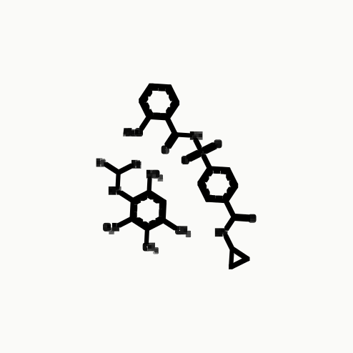 CCC(CC)Nc1c([N+](=O)[O-])cc(C)c(C)c1[N+](=O)[O-].COc1ccccc1C(=O)NS(=O)(=O)c1ccc(C(=O)NC2CC2)cc1